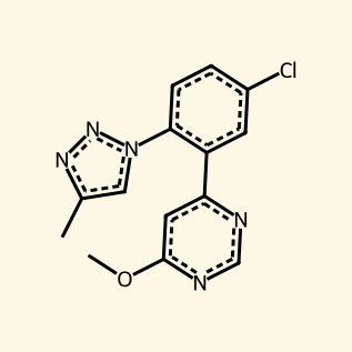 COc1cc(-c2cc(Cl)ccc2-n2cc(C)nn2)ncn1